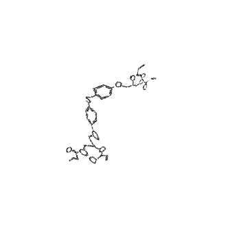 C=CC(=O)OCC(COc1ccc(Sc2ccc(OCC(COC(=O)C=C)OC(=O)C=C)cc2)cc1)OC(=O)C=C